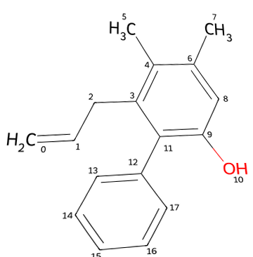 C=CCc1c(C)c(C)cc(O)c1-c1ccccc1